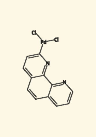 [Cl][Pd]([Cl])[c]1ccc2ccc3cccnc3c2n1